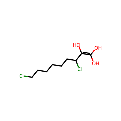 OC(O)=C(O)C(Cl)CCCCCCCl